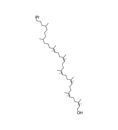 C/C(=C/CO)CC/C=C(/C)CC/C=C(/C)CC/C=C(/C)CC/C=C(/C)CC/C=C(\C)CCCC(C)CCCC(C)CCCC(C)C